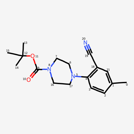 Cc1ccc(N2CCN(C(=O)OC(C)(C)C)CC2)c(C#N)c1